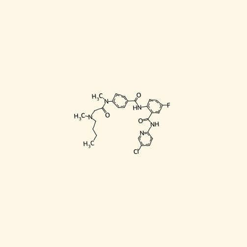 CCCCN(C)CC(=O)N(C)c1ccc(C(=O)Nc2ccc(F)cc2C(=O)Nc2ccc(Cl)cn2)cc1